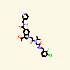 CC(=O)c1cn(CC(=O)N(CC(=O)NCc2cccc(Cl)c2F)C(C)C)c2ccc(C(=O)NCc3cccnc3)cc12